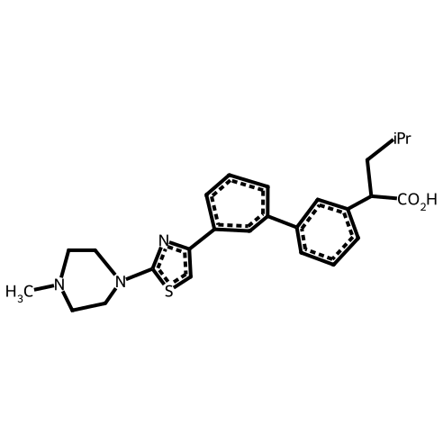 CC(C)CC(C(=O)O)c1cccc(-c2cccc(-c3csc(N4CCN(C)CC4)n3)c2)c1